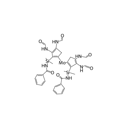 C[Si](C)(NC(=O)c1ccccc1)C1=[C]([Mo][C]2=C([Si](C)(C)NC(=O)c3ccccc3)C(NC=O)=C(NC=O)C2)CC(NC=O)=C1NC=O